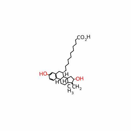 C=C1[C@H](O)C[C@H]2[C@@H]3[C@H](CCCCCCCCCCC(=O)O)Cc4cc(O)ccc4[C@H]3CC[C@]12C